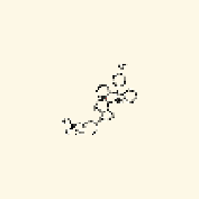 CCC(COCP(=O)(O)O)n1cnc2c(NC(c3ccccc3)(c3ccccc3)c3ccc(OC)cc3)ncnc21